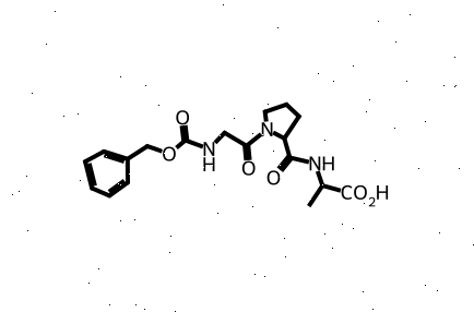 CC(NC(=O)C1CCCN1C(=O)CNC(=O)OCc1ccccc1)C(=O)O